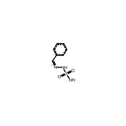 CCCS(=O)(=O)N/N=C\c1ccccc1